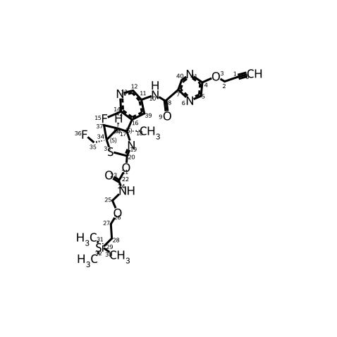 C#CCOc1cnc(C(=O)Nc2cnc(F)c([C@@]3(C)N=C(OC(=O)NCOCC[Si](C)(C)C)S[C@@]4(CF)C[C@H]43)c2)cn1